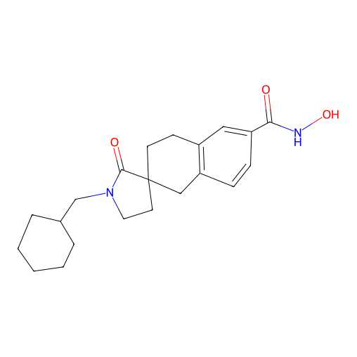 O=C(NO)c1ccc2c(c1)CCC1(CCN(CC3CCCCC3)C1=O)C2